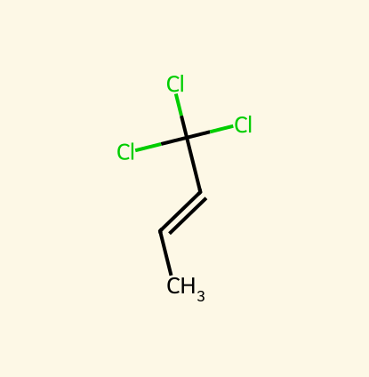 C/C=C/C(Cl)(Cl)Cl